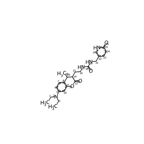 CCN(CC)c1ccc2c(c1)OC(=O)C(CCNC(=O)NCc1ccc(=O)[nH]c1)C2C